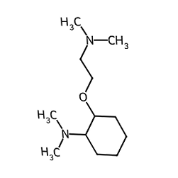 CN(C)CCOC1CCCCC1N(C)C